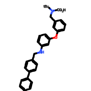 CC(C)(C)N(Cc1cccc(Oc2cccc(NCc3ccc(-c4ccccc4)cc3)c2)c1)C(=O)O